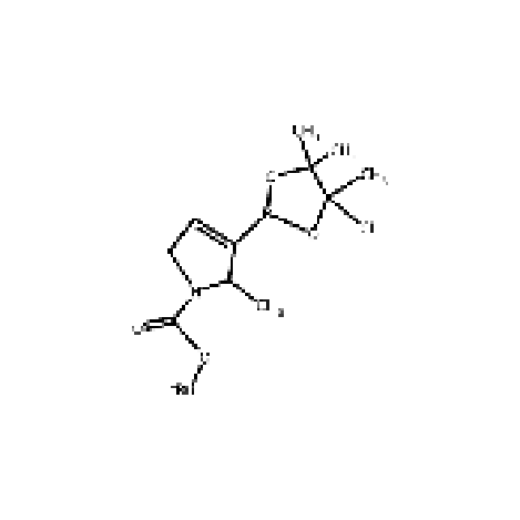 CC1C(B2OC(C)(C)C(C)(C)O2)=CCN1C(=O)OC(C)(C)C